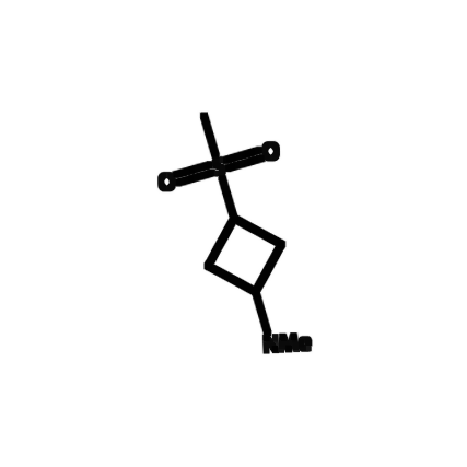 CNC1CC(S(C)(=O)=O)C1